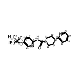 CC(C)(C)[Si](C)(C)Oc1ccc(NC(=O)N2CCN(c3ccccn3)CC2)nc1